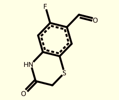 O=Cc1cc2c(cc1F)NC(=O)CS2